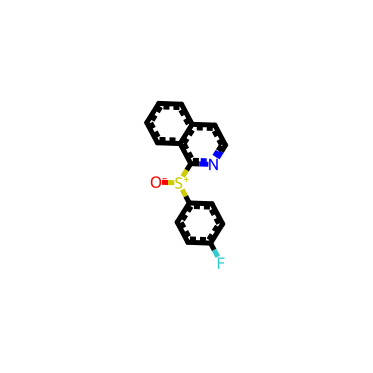 [O-][S+](c1ccc(F)cc1)c1nccc2ccccc12